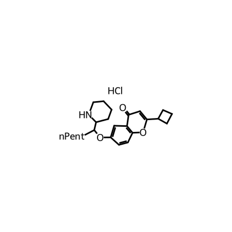 CCCCCC(Oc1ccc2oc(C3CCC3)cc(=O)c2c1)C1CCCCN1.Cl